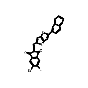 CCc1cc2c(cc1Cl)C(=O)/C(=C\c1cc3sc(-c4ccc5ccccc5c4)cc3s1)C2=O